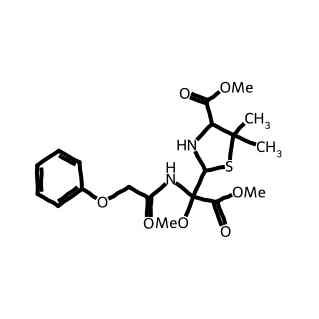 COC(=O)C1NC(C(NC(=O)COc2ccccc2)(OC)C(=O)OC)SC1(C)C